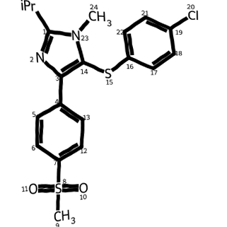 CC(C)c1nc(-c2ccc(S(C)(=O)=O)cc2)c(Sc2ccc(Cl)cc2)n1C